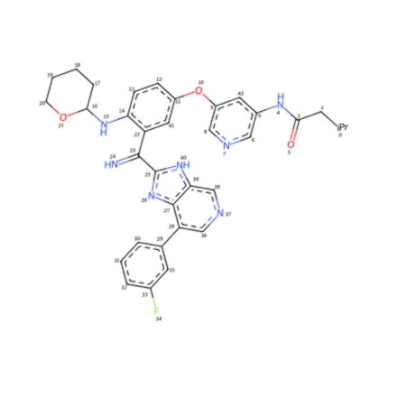 CC(C)CC(=O)Nc1cncc(Oc2ccc(NC3CCCCO3)c(C(=N)c3nc4c(-c5cccc(F)c5)cncc4[nH]3)c2)c1